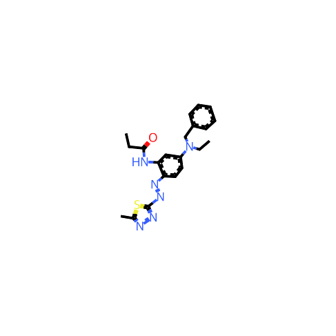 CCC(=O)Nc1cc(N(CC)Cc2ccccc2)ccc1N=Nc1nnc(C)s1